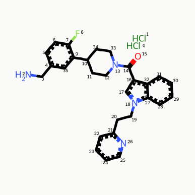 Cl.Cl.NCc1ccc(F)c(C2CCN(C(=O)c3cn(CCc4ccccn4)c4ccccc34)CC2)c1